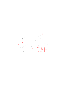 C=C/C=C(/O)C1=C(CO)C(=O)C2=C(C)OCC2C1